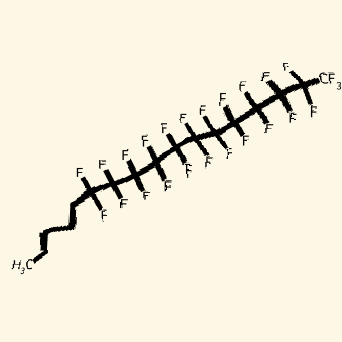 CC=CCCC(F)(F)C(F)(F)C(F)(F)C(F)(F)C(F)(F)C(F)(F)C(F)(F)C(F)(F)C(F)(F)C(F)(F)C(F)(F)C(F)(F)F